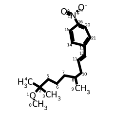 COC(C)(C)CCCC(C)C/C=C/c1ccc([N+](=O)[O-])cc1